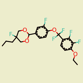 CCCC1(F)COC(c2ccc(OC(F)(F)c3ccc(OCC)c(F)c3F)c(F)c2)OC1